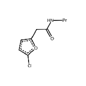 CC(C)NC(=O)Cc1ccc(Cl)o1